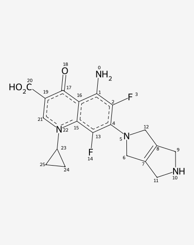 Nc1c(F)c(N2CC3=C(CNC3)C2)c(F)c2c1c(=O)c(C(=O)O)cn2C1CC1